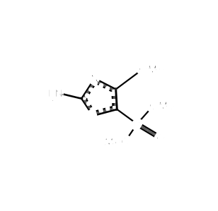 COc1nc(N)sc1P(=O)(OC)OC